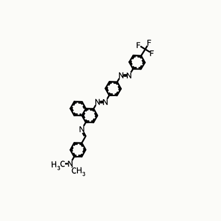 CN(C)c1ccc(/C=N/c2ccc(/N=N/c3ccc(/N=N/c4ccc(C(F)(F)F)cc4)cc3)c3ccccc23)cc1